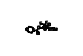 COS(=O)(=O)C(F)(F)COC(=O)N1CCOCC1